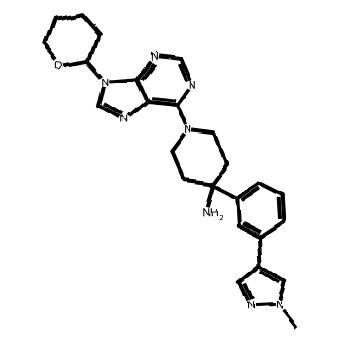 Cn1cc(-c2cccc(C3(N)CCN(c4ncnc5c4ncn5C4CCCCO4)CC3)c2)cn1